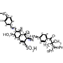 CCCN(CCC)C(C)(C)C(=O)c1ccc(N/N=C2\C(=O)c3c(cc(S(=O)(=O)O)c(/N=N/c4ccc(C#N)cc4)c3N)C=C2S(=O)(=O)O)cc1